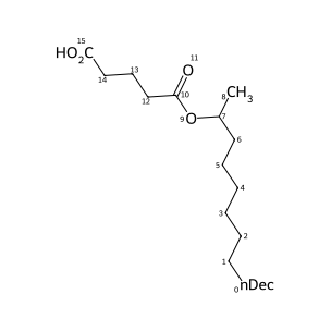 CCCCCCCCCCCCCCCCC(C)OC(=O)CCCC(=O)O